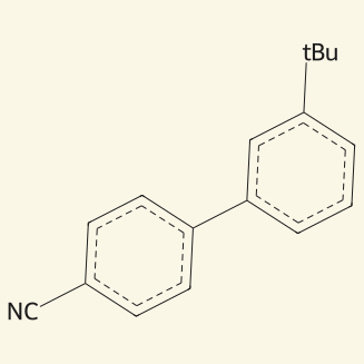 CC(C)(C)c1cccc(-c2ccc(C#N)cc2)c1